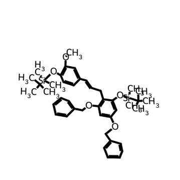 COc1cc(C=CCc2c(OCc3ccccc3)cc(OCc3ccccc3)cc2O[Si](C)(C)C(C)(C)C)ccc1O[Si](C)(C)C(C)(C)C